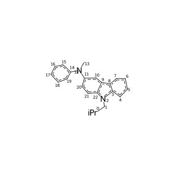 CC(C)Cn1c2ccccc2c2cc(N(C)c3ccccc3)ccc21